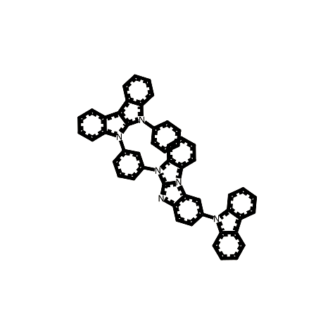 c1ccc(-n2c3ccccc3c3c4ccccc4n(-c4cccc(-n5c6ccccc6n6c7cc(-n8c9ccccc9c9ccccc98)ccc7nc56)c4)c32)cc1